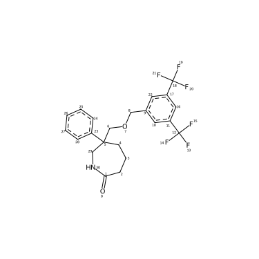 O=C1CCCC(COCc2cc(C(F)(F)F)cc(C(F)(F)F)c2)(c2ccccc2)CN1